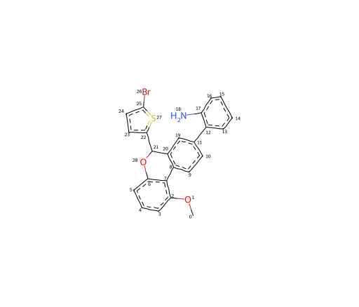 COc1cccc2c1-c1ccc(-c3ccccc3N)cc1C(c1ccc(Br)s1)O2